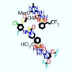 COC(=O)CSc1cc(/N=c2\sc(=O)n3n2CCCC3)c(F)cc1Cl.COc1nc(C)nc(NC(=O)NS(=O)(=O)c2ccccc2CCC(F)(F)F)n1.O=C(Nc1nc(OC(F)F)cc(OC(F)F)n1)NS(=O)(=O)c1ccccc1C(=O)O